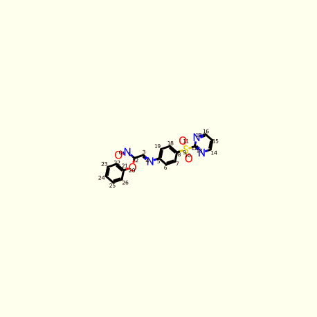 O=NC(C=Nc1ccc(S(=O)(=O)c2ncccn2)cc1)Oc1ccccc1